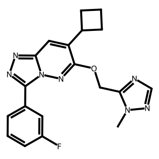 Cn1ncnc1COc1nn2c(-c3cccc(F)c3)nnc2cc1C1CCC1